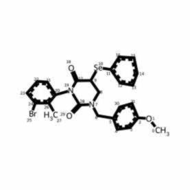 COc1ccc(CN2CC([Se]c3ccccc3)C(=O)N(c3cccc(Br)c3C)C2=O)cc1